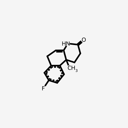 CC12CCC(=O)NC1=CCc1cc(F)ccc12